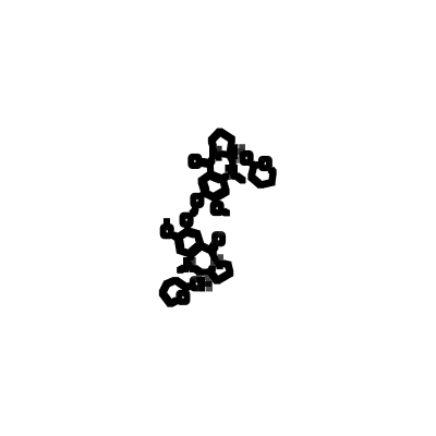 COc1cc2c(cc1OCOc1cc3c(cc1OC)N(C)[C@@H](OC1CCCCO1)[C@@H]1CCCN1C3=O)C(=O)N1CCC[C@H]1[C@H](OC1CCCCO1)N2C